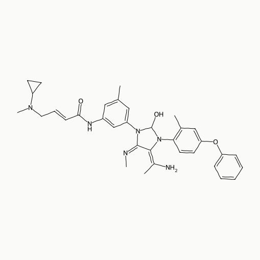 C/N=C1\C(=C(/C)N)N(c2ccc(Oc3ccccc3)cc2C)C(O)N1c1cc(C)cc(NC(=O)/C=C/CN(C)C2CC2)c1